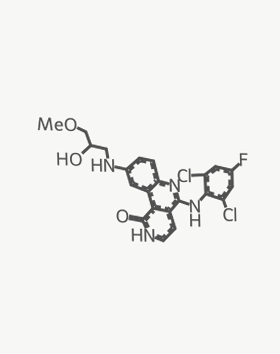 COCC(O)CNc1ccc2nc(Nc3c(Cl)cc(F)cc3Cl)c3cc[nH]c(=O)c3c2c1